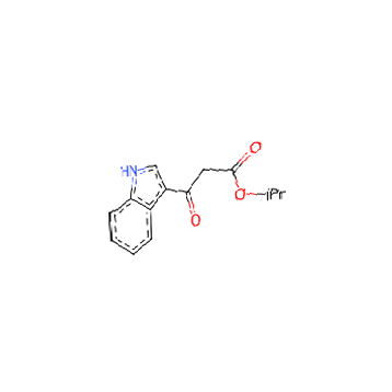 CC(C)OC(=O)CC(=O)c1c[nH]c2ccccc12